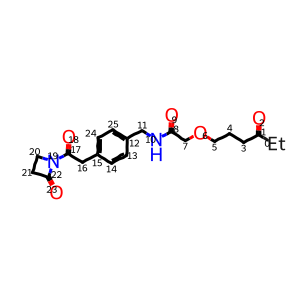 CCC(=O)CCCOCC(=O)NCc1ccc(CC(=O)N2CCC2=O)cc1